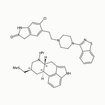 CCCN1C[C@H](CSC)C[C@@H]2c3cccc4[nH]cc(c34)C[C@H]21.O=C1Cc2cc(CCN3CCN(c4nsc5ccccc45)CC3)c(Cl)cc2N1